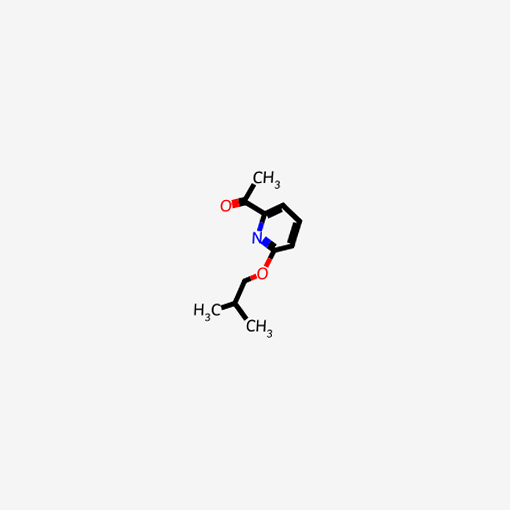 CC(=O)c1cccc(OCC(C)C)n1